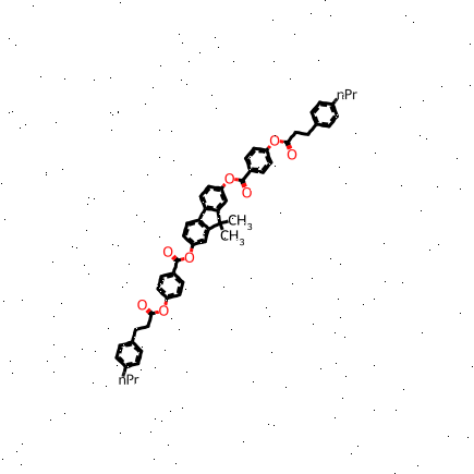 CCCc1ccc(CCC(=O)Oc2ccc(C(=O)Oc3ccc4c(c3)C(C)(C)c3cc(OC(=O)c5ccc(OC(=O)CCc6ccc(CCC)cc6)cc5)ccc3-4)cc2)cc1